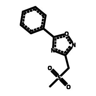 CS(=O)(=O)Cc1noc(-c2ccccc2)n1